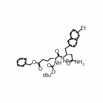 CCCN(C(=O)[C@H](CCCC(=O)OCc1ccccc1)NC(=O)OC(C)(C)C)[C@H](CC(N)=O)Cc1ccc2cc(CC)ccc2c1